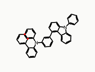 c1ccc(-c2ccccc2N(c2ccccc2)c2cccc(-c3cccc4c3c3ccccc3n4-c3ccccc3)c2)cc1